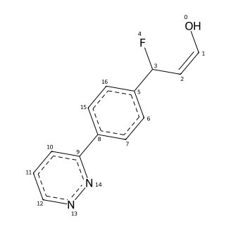 O/C=C\C(F)c1ccc(-c2cccnn2)cc1